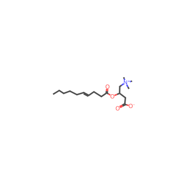 CCCCCC=CCCC(=O)OC(CC(=O)[O-])C[N+](C)(C)C